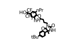 CCCc1cc(C(O)(C(F)(F)F)C(F)(F)F)cc(CCC)c1OCCCCN1C(=O)NC(C)(c2ccc(C(C)(C)C)cc2)C1=O